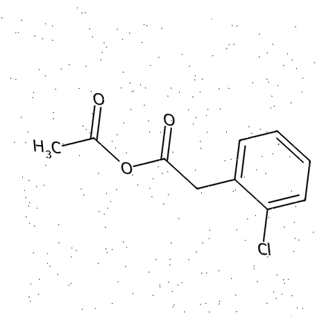 CC(=O)OC(=O)Cc1ccccc1Cl